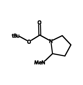 CNC1CCCN1C(=O)OC(C)(C)C